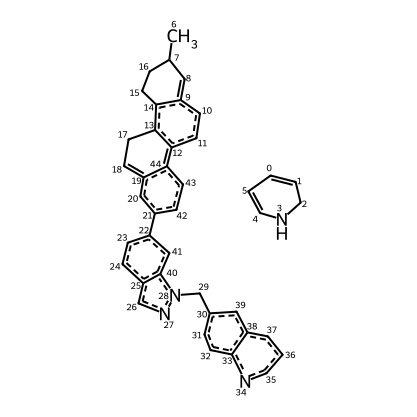 C1=CCNC=C1.CC1C=c2ccc3c(c2CC1)CC=c1cc(-c2ccc4cnn(Cc5ccc6ncccc6c5)c4c2)ccc1=3